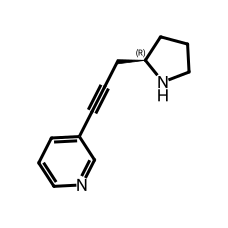 C(#Cc1cccnc1)C[C@H]1CCCN1